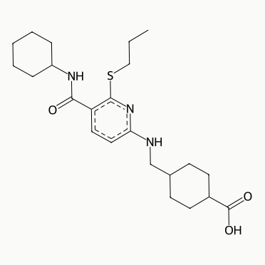 CCCSc1nc(NCC2CCC(C(=O)O)CC2)ccc1C(=O)NC1CCCCC1